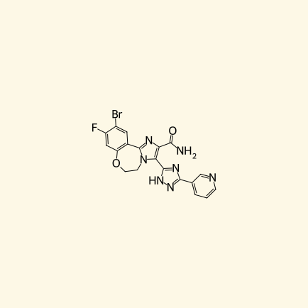 NC(=O)c1nc2n(c1-c1nc(-c3cccnc3)n[nH]1)CCOc1cc(F)c(Br)cc1-2